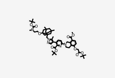 COC(=O)c1ccc(OCC(=O)OC(C)(C)C)c2c1CN(c1ccc(-c3cnn(CC45CC6(C)CC(C)(C4)CC(OCCN(C)C(=O)OC(C)(C)C)(C6)C5)c3C)c(C(=O)OC(C)(C)C)n1)CC2